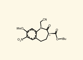 COc1cc2c(cc1[N+](=O)[O-])CC[C@H](C(=O)OC(C)(C)C)C(=O)N2CC#N